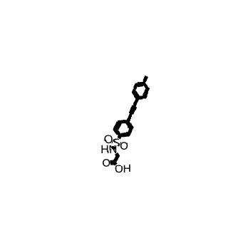 Cc1ccc(C#Cc2ccc(S(=O)(=O)NCC(=O)O)cc2)cc1